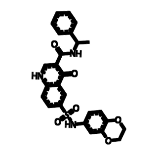 CC(NC(=O)c1c[nH]c2ccc(S(=O)(=O)Nc3ccc4c(c3)OCCO4)cc2c1=O)c1ccccc1